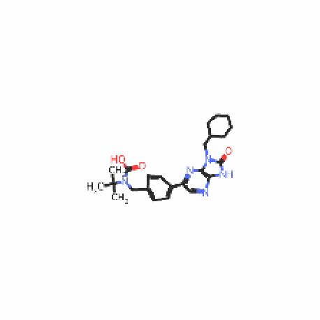 CC(C)(C)N(Cc1ccc(-c2cnc3[nH]c(=O)n(CC4CCCCC4)c3n2)cc1)C(=O)O